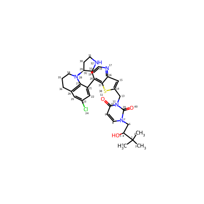 CC(C)(C)C(O)Cn1ccc(=O)n(Cc2cc3nccc(-c4cc(Cl)cc5c4N([C@H]4CCNC4)CCC5)c3s2)c1=O